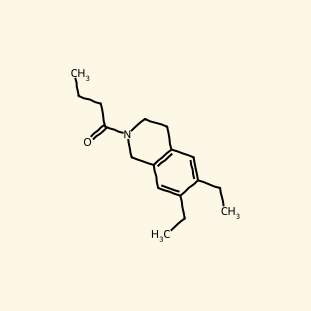 CCCC(=O)N1CCc2cc(CC)c(CC)cc2C1